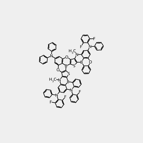 CN1c2cc(N(c3ccccc3)c3c(F)cccc3F)cc3c2B(c2ccccc2O3)c2sc3c(c21)Oc1cc(N(c2ccccc2)c2ccccc2)cc2c1B3c1sc3c(c1O2)N(C)c1cc(N(c2ccccc2)c2c(F)cccc2F)cc2c1B3c1ccccc1N2c1ccccc1F